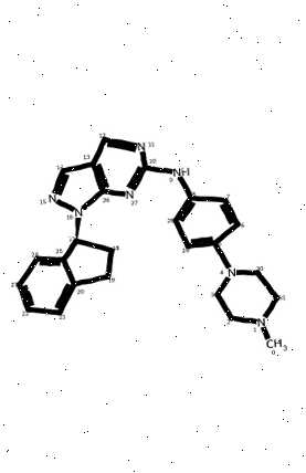 CN1CCN(c2ccc(Nc3ncc4cnn([C@H]5CCc6ccccc65)c4n3)cc2)CC1